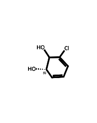 OC1C(Cl)=CC=C[C@@H]1O